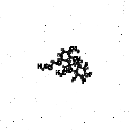 CCC(CC)(Pc1c(F)c(F)c(F)c(F)c1F)c1cc(C)ccc1OCOC